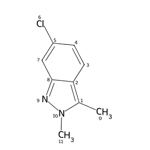 Cc1c2ccc(Cl)cc2nn1C